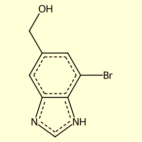 OCc1cc(Br)c2[nH]cnc2c1